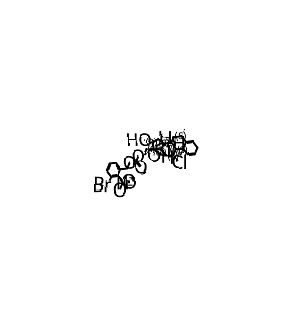 C[C@H]1C[C@H]2[C@@H]3C[C@@H](O)[C@](O)(CCOC(=O)OCc4cccc(Br)c4[N+](=O)[O-])[C@@]3(C)C[C@H](Cl)[C@]2(Cl)[C@@]2(C)C=CCC=C12